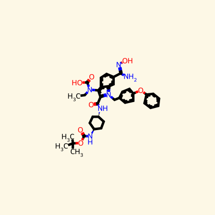 CCN(C(=O)O)c1c(C(=O)N[C@H]2CC[C@H](NC(=O)OC(C)(C)C)CC2)n(Cc2ccc(Oc3ccccc3)cc2)c2cc(/C(N)=N/O)ccc12